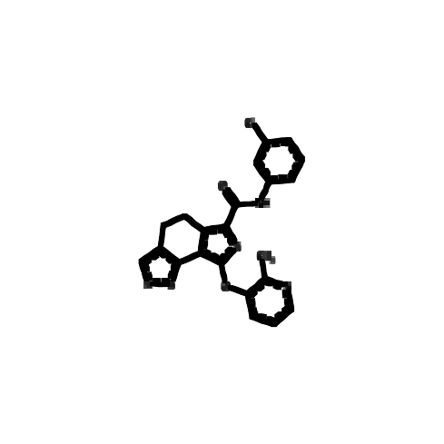 Cc1ncccc1Oc1sc(C(=O)Nc2cccc(Cl)c2)c2c1-c1sncc1CC2